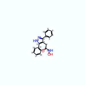 O=C(Cc1c(-c2ccccc2)n[nH]c1-c1ccccc1)NO